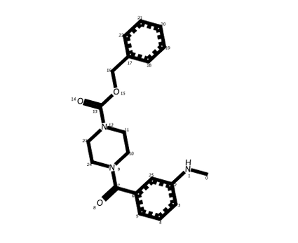 CNc1cccc(C(=O)N2CCN(C(=O)OCc3ccccc3)CC2)c1